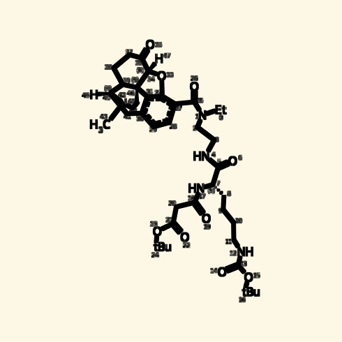 CCN(CCNC(=O)[C@H](CCCCNC(=O)OC(C)(C)C)NC(=O)CC(=O)OC(C)(C)C)C(=O)c1ccc2c3c1O[C@H]1C(=O)CCC4[C@@H](C2)N(C)CC[C@@]341